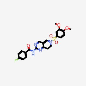 COc1ccc(S(=O)(=O)N2C=C3C=NC(NC(=O)c4ccc(F)cc4)N=C3CC2)cc1OC